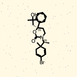 C[C@H](N1CC[C@](CC(C)(C)O)(c2ccccc2)OC1=O)C1(C)C=CC(Br)=CC1